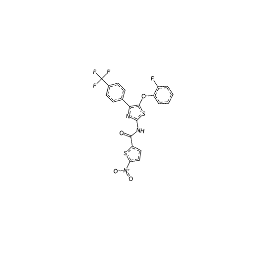 O=C(Nc1nc(-c2ccc(C(F)(F)F)cc2)c(Oc2ccccc2F)s1)c1ccc([N+](=O)[O-])s1